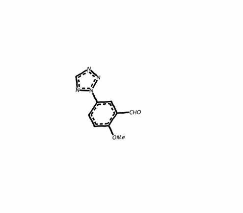 COc1ccc(-n2ncnn2)cc1C=O